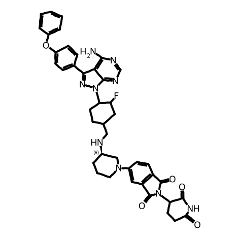 Nc1ncnc2c1c(-c1ccc(Oc3ccccc3)cc1)nn2C1CCC(CN[C@@H]2CCCN(c3ccc4c(c3)C(=O)N(C3CCC(=O)NC3=O)C4=O)C2)CC1F